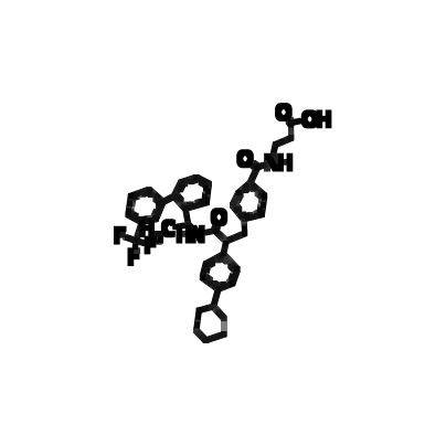 CC(NC(=O)C(Cc1ccc(C(=O)NCCC(=O)O)cc1)c1ccc(C2CCCCC2)cc1)c1ccccc1-c1cccc(C(F)(F)F)c1